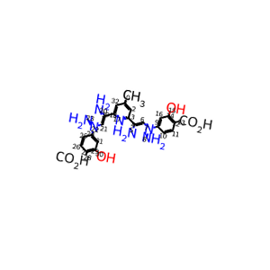 Cc1cc(/C(N)=C/N(N)c2ccc(C(=O)O)c(O)c2)nc(/C(N)=C/N(N)c2ccc(C(=O)O)c(O)c2)c1